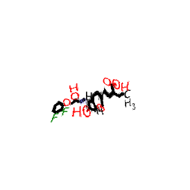 CCCC(CC[C@@H]1CC[C@@H]2[C@@H](/C=C/[C@@H](O)COc3cccc(F)c3F)[C@H](O)C[C@@H]2OC1)C(=O)O